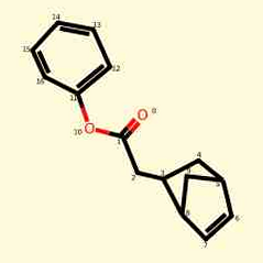 O=C(CC1CC2C=CC1C2)Oc1ccccc1